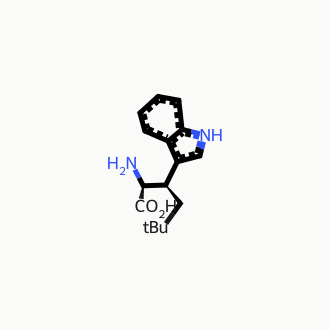 CC(C)(C)C[C@H](c1c[nH]c2ccccc12)[C@H](N)C(=O)O